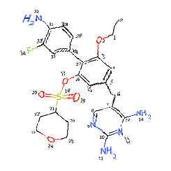 CCOc1cc(Cc2cnc(N)nc2N)cc(OS(=O)(=O)C2CCOCC2)c1-c1ccc(N)c(F)c1